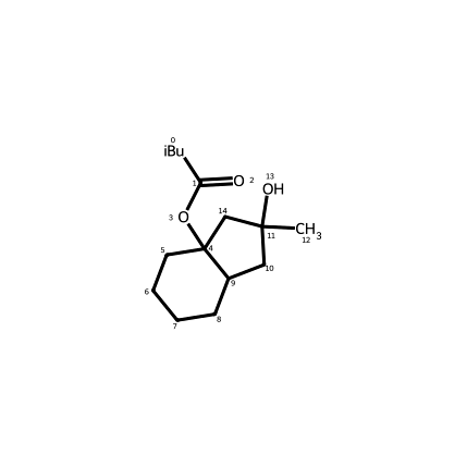 CCC(C)C(=O)OC12CCCCC1CC(C)(O)C2